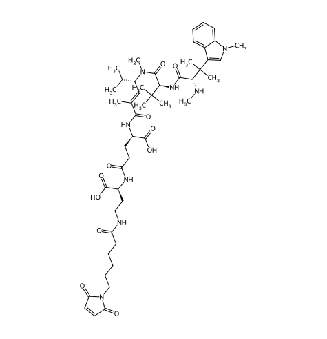 CN[C@H](C(=O)N[C@H](C(=O)N(C)[C@H](/C=C(\C)C(=O)N[C@H](CCC(=O)N[C@@H](CCNC(=O)CCCCCN1C(=O)C=CC1=O)C(=O)O)C(=O)O)C(C)C)C(C)(C)C)C(C)(C)c1cn(C)c2ccccc12